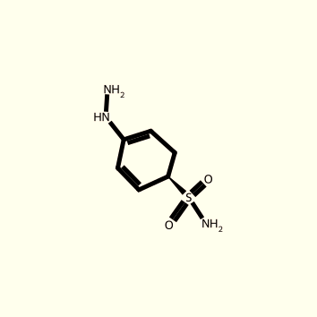 NNC1=CC[C@@H](S(N)(=O)=O)C=C1